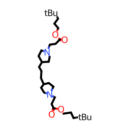 CC(C)(C)CCCOC(=O)CCN1CCC(CCCC2CCN(CCC(=O)OCCCC(C)(C)C)CC2)CC1